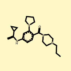 C=C(Nc1ccc(C(=O)N2CCN(CCC)CC2)c(N2CCCC2)c1)C1CC1